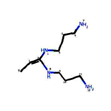 CC=C(NCCCN)NCCCN